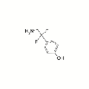 NCC(F)(F)c1ccc(O)cc1